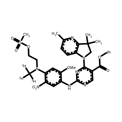 [2H]C([2H])([2H])N(CCOS(C)(=O)=O)c1cc(OC)c(Nc2ncc(C(=O)OC(C)C)c(N3CC(C)(C)c4nc(C)ccc43)n2)cc1[N+](=O)[O-]